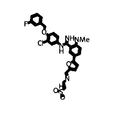 CNc1ccc(-c2ccc(/C=N/CC[SH](=O)=O)o2)cc1C(=N)Nc1ccc(OCc2cccc(F)c2)c(Cl)c1